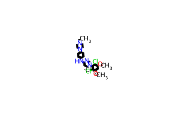 [CH2]C1C=C(Nc2ccc(N3CCN(CC)CC3)cc2)N=CN1c1c(Cl)c(OC)cc(OC)c1Cl